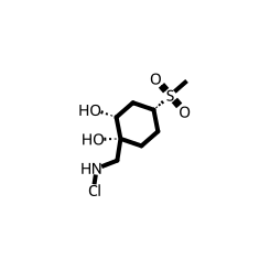 CS(=O)(=O)[C@@H]1CC[C@@](O)(CNCl)[C@H](O)C1